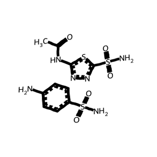 CC(=O)Nc1nnc(S(N)(=O)=O)s1.Nc1ccc(S(N)(=O)=O)cc1